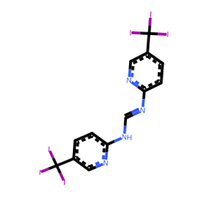 IC(I)(I)c1ccc(N=CNc2ccc(C(I)(I)I)cn2)nc1